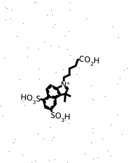 CC1(C)C=[N+](CCCCCC(=O)O)c2ccc3c(S(=O)(=O)O)cc(S(=O)(=O)O)cc3c21